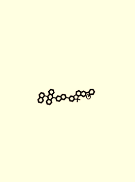 CC1(C)c2ccc(-c3ccc4cc(-c5c6ccccc6c(-c6cccc7ccccc67)c6ccccc56)ccc4c3)cc2-c2ccc3cc4c(cc3c21)oc1ccccc14